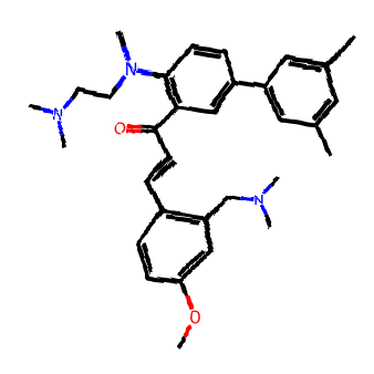 COc1ccc(/C=C/C(=O)c2cc(-c3cc(C)cc(C)c3)ccc2N(C)CCN(C)C)c(CN(C)C)c1